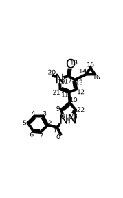 CC(c1ccccc1)n1cc(-c2cc(C3CC3)c(=O)n(C)c2)cn1